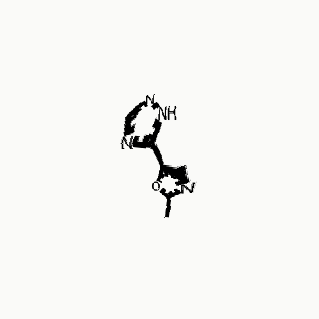 Cc1ncc(-c2ncn[nH]2)o1